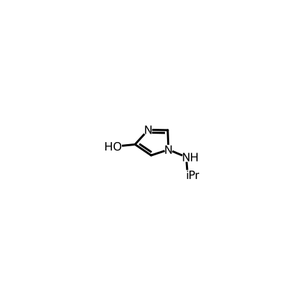 CC(C)Nn1cnc(O)c1